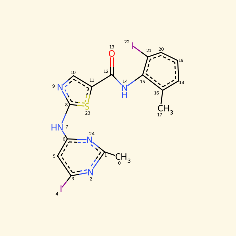 Cc1nc(I)cc(Nc2ncc(C(=O)Nc3c(C)cccc3I)s2)n1